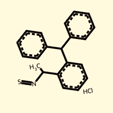 CC(N=S)c1ccccc1C(c1ccccc1)c1ccccc1.Cl